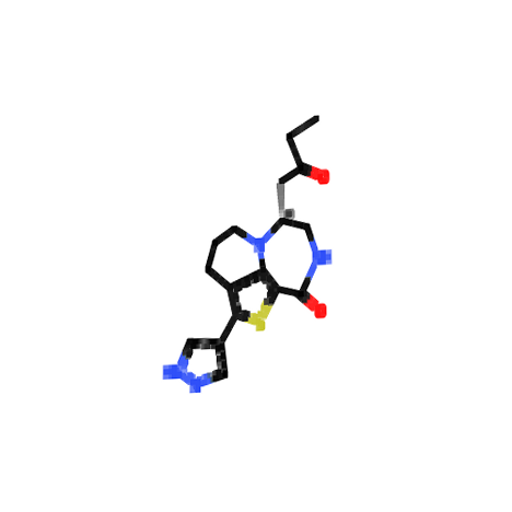 CCC(=O)C[C@@H]1CNC(=O)c2sc(-c3cn[nH]c3)c3c2N1CCC3